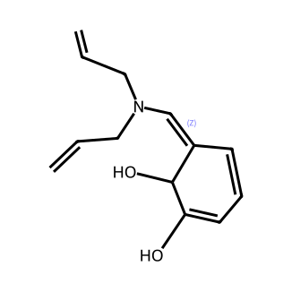 C=CCN(/C=C1/C=CC=C(O)C1O)CC=C